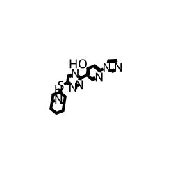 Oc1cc(-n2ccnc2)ncc1-c1ncc(SC2CC3CCCC(C2)N3)nn1